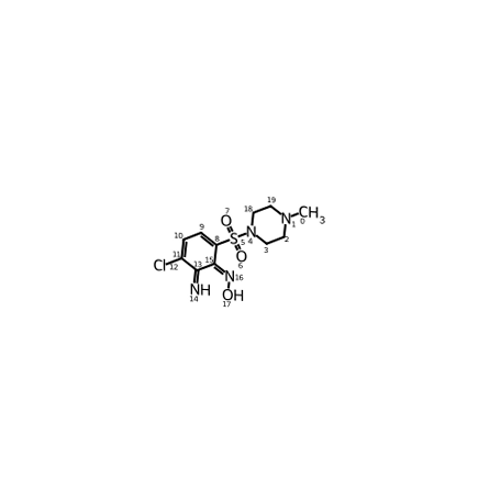 CN1CCN(S(=O)(=O)C2=CC=C(Cl)C(=N)/C2=N\O)CC1